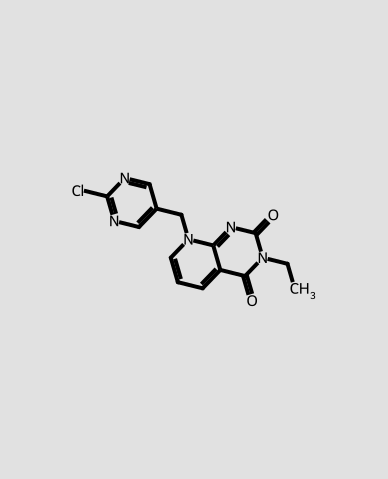 CCn1c(=O)nc2n(Cc3cnc(Cl)nc3)cccc-2c1=O